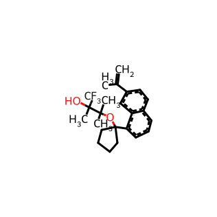 C=C(C)c1ccc2cccc(C3(OC(C)(C)C(C)(O)C(F)(F)F)CCCC3)c2c1